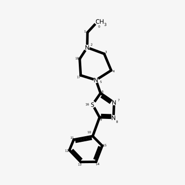 CCN1CCN(c2nnc(-c3ccccc3)s2)CC1